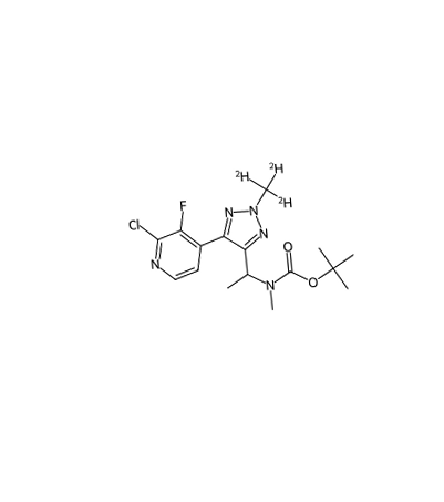 [2H]C([2H])([2H])n1nc(-c2ccnc(Cl)c2F)c(C(C)N(C)C(=O)OC(C)(C)C)n1